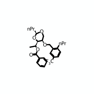 CCCc1ccc(C(F)(F)F)cc1CO[C@@H]1CO[C@H](CCC)O[C@@H]1C(C)OC(=O)c1ccccc1